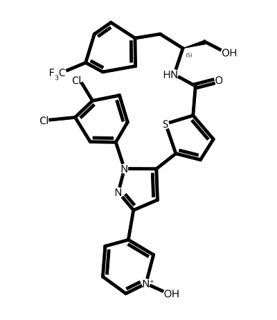 O=C(N[C@H](CO)Cc1ccc(C(F)(F)F)cc1)c1ccc(-c2cc(-c3ccc[n+](O)c3)nn2-c2ccc(Cl)c(Cl)c2)s1